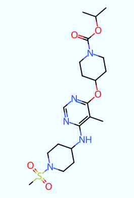 Cc1c(NC2CCN(S(C)(=O)=O)CC2)ncnc1OC1CCN(C(=O)OC(C)C)CC1